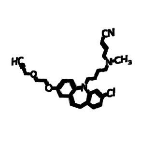 C#CCOCCOC1=CC=C2C(=CCc3ccc(Cl)cc3N2CCCCN(C)C/C=C/C#N)C1